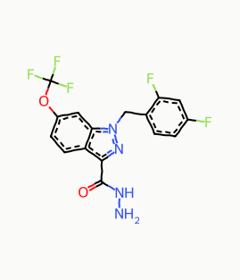 NNC(=O)c1nn(Cc2ccc(F)cc2F)c2cc(OC(F)(F)F)ccc12